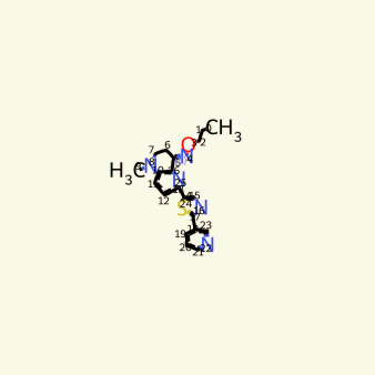 CCCO/N=C1\CCN(C)c2ccc(-c3cnc(-c4cccnc4)s3)nc21